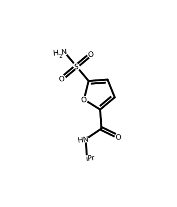 CC(C)NC(=O)c1ccc(S(N)(=O)=O)o1